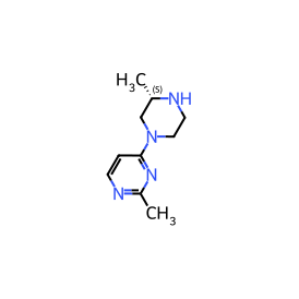 Cc1nccc(N2CCN[C@@H](C)C2)n1